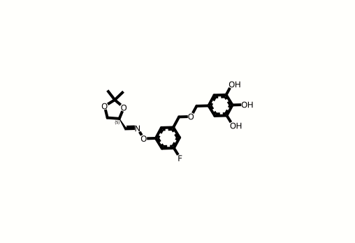 CC1(C)OC[C@H](C=NOc2cc(F)cc(COCc3cc(O)c(O)c(O)c3)c2)O1